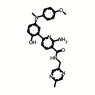 COc1ccc(N(C)c2ccc(O)c(-c3ccc(C(=O)NCc4cnc(C)cn4)c(N)n3)c2)cc1